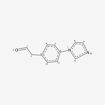 O=[C]Cc1ccc(-n2ccnc2)cc1